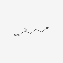 CO[SiH2]CCCBr